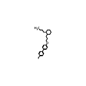 CCCCC1CCCCC1CCCOc1ccc(-c2ccc(F)cc2)cc1